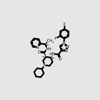 C[C@@H](NC(=O)[C@@H]1CN(C2CCCCC2)CC[C@H]1NC(=O)c1cn(-c2ccc(F)cc2F)nn1)c1ccccn1